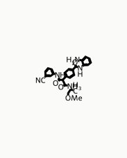 COCC(C)NC(=O)C(C(=O)Nc1cccc(C#N)c1)c1ccc(C(=O)Nc2ccccc2N)cc1